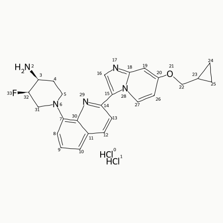 Cl.Cl.N[C@H]1CCN(c2cccc3ccc(-c4cnc5cc(OCC6CC6)ccn45)nc23)C[C@H]1F